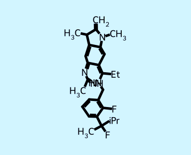 C=C1C(C)C2=CC(=N/C(C)=N)/C(=C(/CC)NCc3cccc(C(C)(F)C(C)C)c3F)C=C2N1C